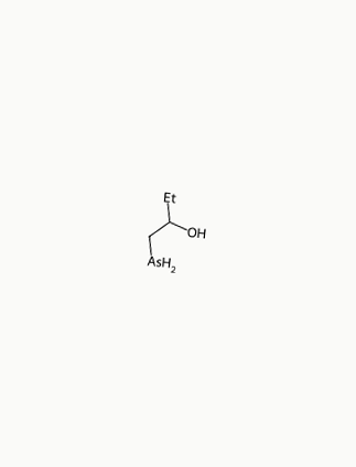 CCC(O)C[AsH2]